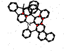 CC1(c2ccccc2)c2ccccc2-c2ccc(N(c3ccccc3-c3cccc4c3ccc3ccccc34)c3ccccc3-c3cccc4cccc(-c5ccccc5)c34)cc21